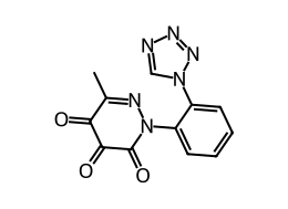 CC1=NN(c2ccccc2-n2cnnn2)C(=O)C(=O)C1=O